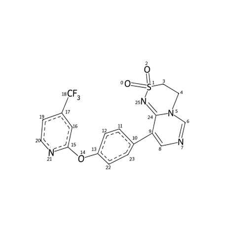 O=S1(=O)CCN2C=NC=C(c3ccc(Oc4cc(C(F)(F)F)ccn4)cc3)C2=N1